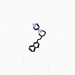 c1ccc2cc(CCC3CCCN(c4ccncc4)C3)ccc2c1